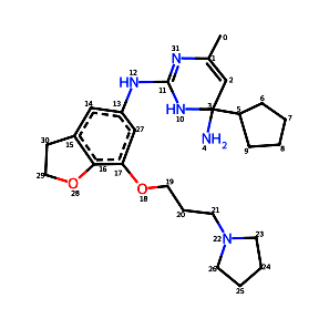 CC1=CC(N)(C2CCCC2)NC(Nc2cc3c(c(OCCCN4CCCC4)c2)OCC3)=N1